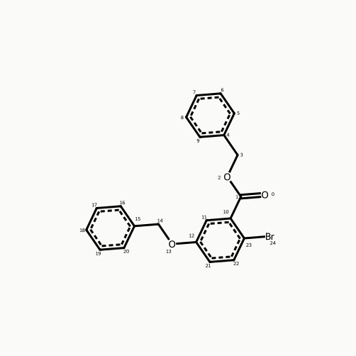 O=C(OCc1ccccc1)c1cc(OCc2ccccc2)ccc1Br